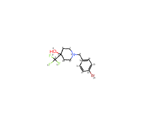 OC1(C(F)(F)F)CCN(Cc2ccc(Br)cc2)CC1